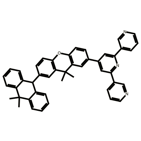 CC1(C)c2cc(-c3cc(-c4cccnc4)nc(-c4cccnc4)c3)ccc2Oc2ccc(C3c4ccccc4C(C)(C)c4ccccc43)cc21